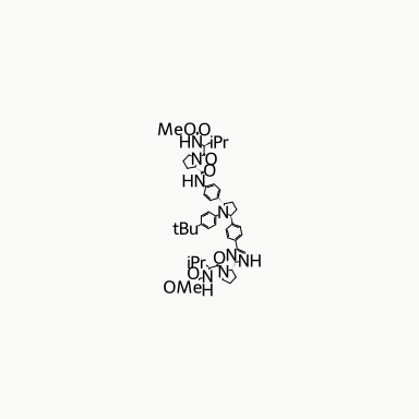 COC(=O)N[C@H](C(=O)N1CCC[C@H]1C(=O)Nc1ccc([C@@H]2CC[C@@H](c3ccc(-c4c[nH]c([C@@H]5CCCN5C(=O)[C@@H](NC(=O)OC)C(C)C)n4)cc3)N2c2ccc(C(C)(C)C)cc2)cc1)C(C)C